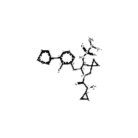 CN(C)S(=O)(=O)N[C@@H]1[C@H](Cc2cccc(-c3ccccc3)c2F)N(C(=O)[C@H](O)C2CC2)CC12CC2